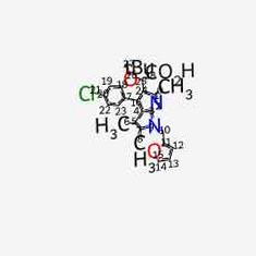 Cc1nc2c(c(C)c(C)n2Cc2ccco2)c(-c2ccc(Cl)cc2)c1[C@H](OC(C)(C)C)C(=O)O